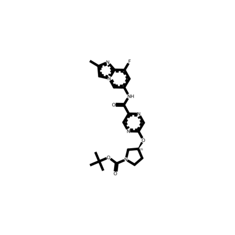 Cc1cn2cc(NC(=O)c3cnc(O[C@H]4CCN(C(=O)OC(C)(C)C)C4)cn3)cc(F)c2n1